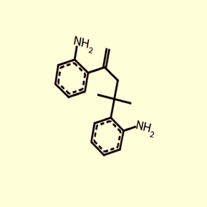 C=C(CC(C)(C)c1ccccc1N)c1ccccc1N